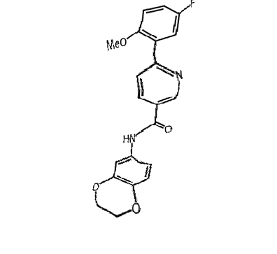 COc1ccc(F)cc1-c1ccc(C(=O)Nc2ccc3c(c2)OCCO3)cn1